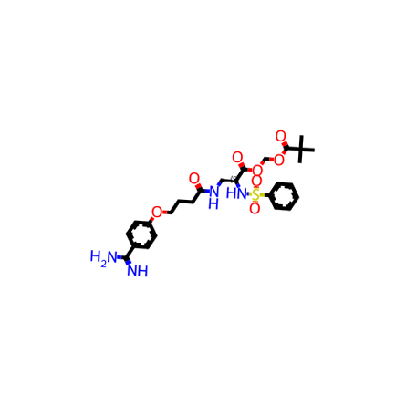 CC(C)(C)C(=O)OCOC(=O)[C@H](CNC(=O)CCCOc1ccc(C(=N)N)cc1)NS(=O)(=O)c1ccccc1